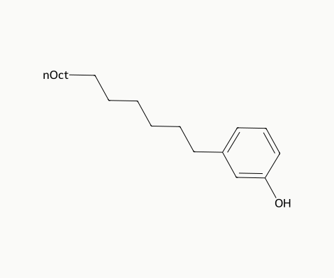 CCCCCCCCCCCCCCc1cccc(O)c1